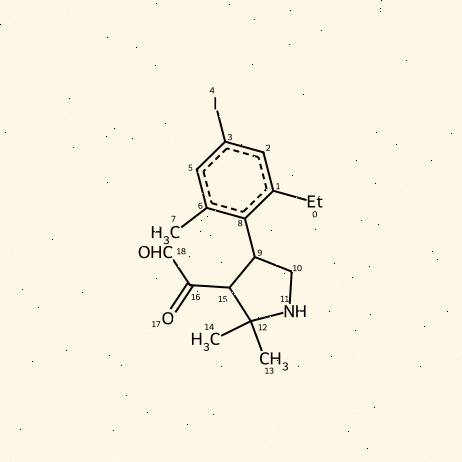 CCc1cc(I)cc(C)c1C1CNC(C)(C)C1C(=O)C=O